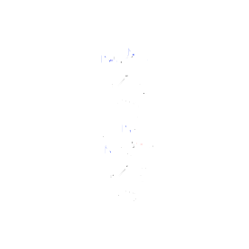 CN(C)[C@H](C(=O)NCc1ccc(C(=N)N)cc1)c1ccccc1